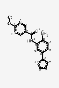 CCOc1ncc(C(=O)Nc2cc(-c3cccs3)ccc2N)cn1